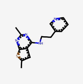 Cc1nc(NCCc2cccnc2)c2cc(C)sc2n1